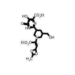 CCOC(=O)/C(=C\C1OC(C)O1)N1CC(CO)CC(c2nc(C(=O)OCC)c(O)c(=O)[nH]2)C1